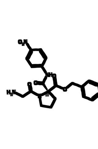 NCC(=O)N1CCC[C@]1(C(=O)Nc1ccc([N+](=O)[O-])cc1)C(=O)OCc1ccccc1